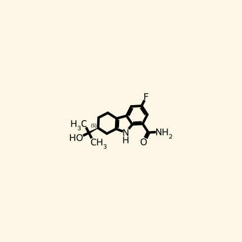 CC(C)(O)[C@H]1CCc2c([nH]c3c(C(N)=O)cc(F)cc23)C1